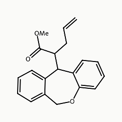 C=CCC(C(=O)OC)C1c2ccccc2COc2ccccc21